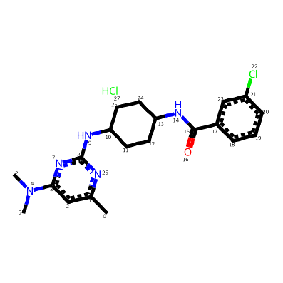 Cc1cc(N(C)C)nc(NC2CCC(NC(=O)c3cccc(Cl)c3)CC2)n1.Cl